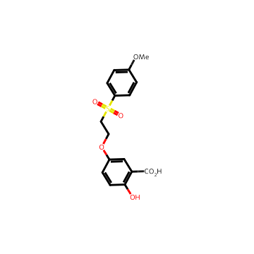 COc1ccc(S(=O)(=O)CCOc2ccc(O)c(C(=O)O)c2)cc1